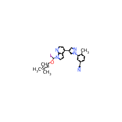 Cc1ccc(C#N)cc1-n1cc(-c2ccnc3c2ccn3C(I)OCC[Si](C)(C)C)cn1